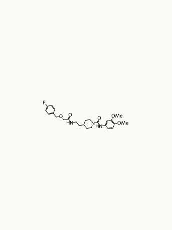 COc1ccc(NC(=O)N2CCC(CCNC(=O)COCc3ccc(F)cc3)CC2)cc1OC